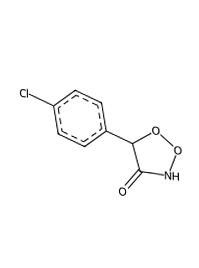 O=C1NOOC1c1ccc(Cl)cc1